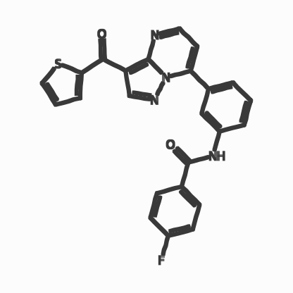 O=C(Nc1cccc(-c2ccnc3c(C(=O)c4cccs4)cnn23)c1)c1ccc(F)cc1